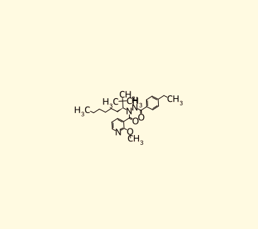 CCCCCC[C@H](N(NC(=O)c1ccc(CC)cc1)C(=O)c1cccnc1OC)C(C)(C)C